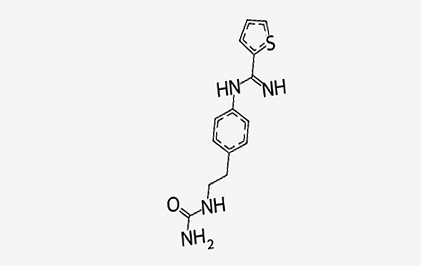 N=C(Nc1ccc(CCNC(N)=O)cc1)c1cccs1